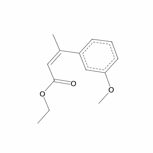 CCOC(=O)/C=C(/C)c1cccc(OC)c1